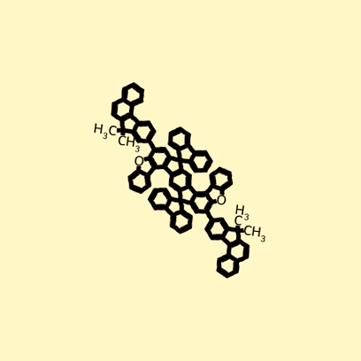 CC1(C)c2cc(-c3cc4c(c5c3oc3ccccc35)-c3cc5c(cc3C43c4ccccc4-c4ccccc43)-c3c(cc(-c4ccc6c(c4)C(C)(C)c4ccc7ccccc7c4-6)c4oc6ccccc6c34)C53c4ccccc4-c4ccccc43)ccc2-c2c1ccc1ccccc21